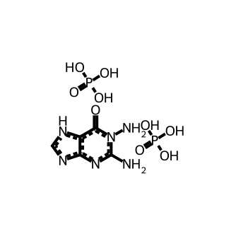 Nc1nc2nc[nH]c2c(=O)n1N.O=P(O)(O)O.O=P(O)(O)O